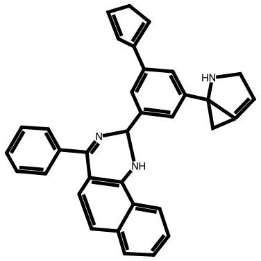 C1=CC(c2cc(C3N=C(c4ccccc4)c4ccc5ccccc5c4N3)cc(C34CC3=CCN4)c2)=CC1